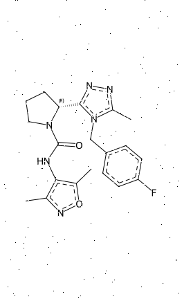 Cc1noc(C)c1NC(=O)N1CCC[C@@H]1c1nnc(C)n1Cc1ccc(F)cc1